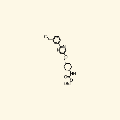 CC(C)(C)OC(=O)N[C@H]1CC[C@H](COc2cnc(-c3cccc(CCl)c3)nc2)CC1